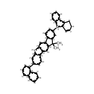 CC1(C)c2cc(-n3c4c(c5ccccc53)CCC=C4)ccc2-c2cc3sc4cc(-c5cccc6ccccc56)ccc4c3cc21